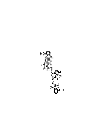 O=C(NCCCN(CCCCN(CCCNC(=O)c1cccc(O)c1O)C(=O)c1cccc(=O)n1O)C(=O)c1cccc(=O)n1O)c1cccc(O)c1O